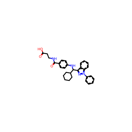 O=C(O)CCNC(=O)c1ccc(NC(c2nn(-c3ccccc3)c3ccccc23)C2CCCCC2)cc1